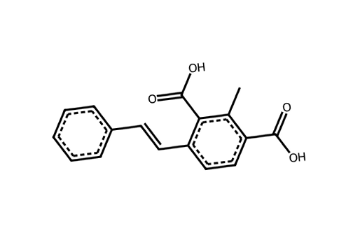 Cc1c(C(=O)O)ccc(C=Cc2ccccc2)c1C(=O)O